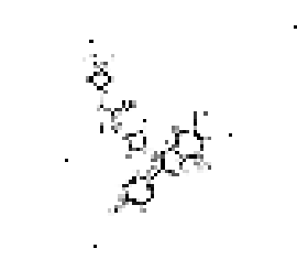 O=C(CC1CS(=O)(=O)C1)N[C@H]1C[C@@H](c2c(-c3ccc(F)cc3)[nH]c3c(F)cc(F)cc32)C1